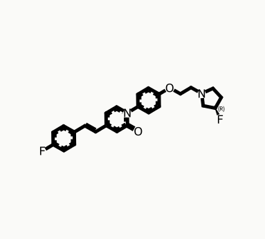 O=c1cc(C=Cc2ccc(F)cc2)ccn1-c1ccc(OCCN2CC[C@@H](F)C2)cc1